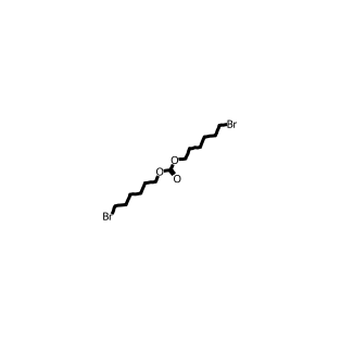 O=C(OCCCCCCBr)OCCCCCCBr